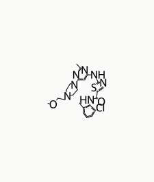 COCCN1CCN(c2cc(Nc3ncc(C(=O)Nc4c(C)cccc4Cl)s3)nc(C)n2)CC1